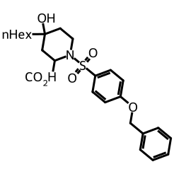 CCCCCCC1(O)CCN(S(=O)(=O)c2ccc(OCc3ccccc3)cc2)C(C(=O)O)C1